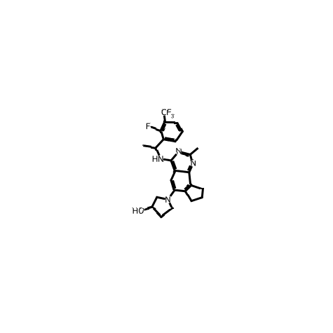 Cc1nc(NC(C)c2cccc(C(F)(F)F)c2F)c2cc(N3CCC(O)C3)c3c(c2n1)CCC3